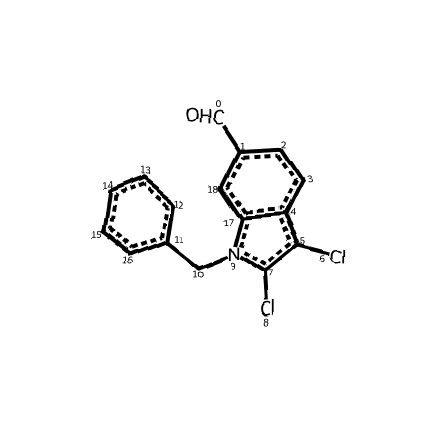 O=Cc1ccc2c(Cl)c(Cl)n(Cc3ccccc3)c2c1